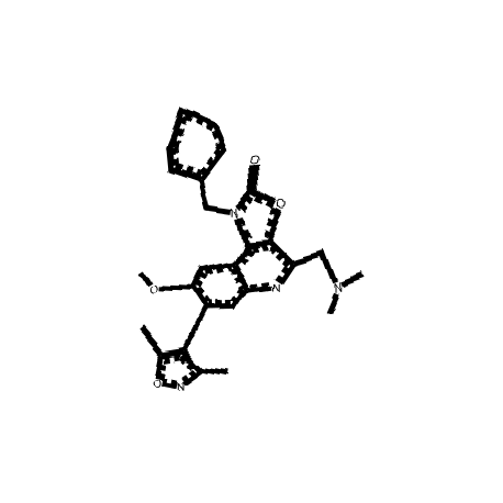 COc1cc2c(cc1-c1c(C)noc1C)nc(CN(C)C)c1oc(=O)n(Cc3ccccc3)c12